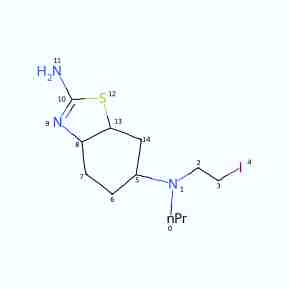 CCCN(CCI)C1CCC2N=C(N)SC2C1